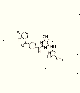 Cc1cc(Nc2cc(C)[nH]n2)nc(NC2CCN(C(=O)c3cccc(F)c3F)CC2)n1